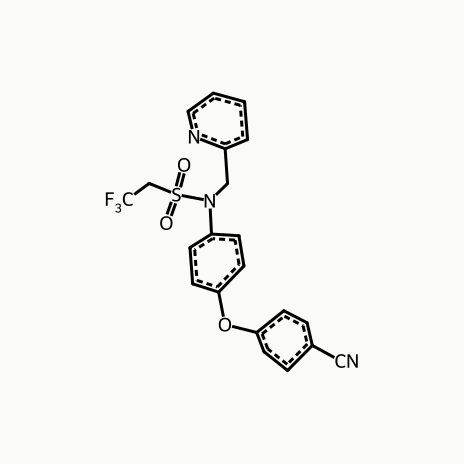 N#Cc1ccc(Oc2ccc(N(Cc3ccccn3)S(=O)(=O)CC(F)(F)F)cc2)cc1